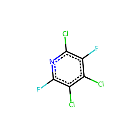 Fc1nc(Cl)c(F)c(Cl)c1Cl